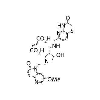 COc1cnc2ccc(=O)n(CCN3C[C@H](CNCc4ccc5c(n4)NC(=O)CS5)[C@H](O)C3)c2c1.O=C(O)/C=C/C(=O)O